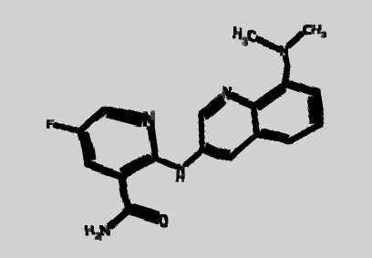 CN(C)c1cccc2cc(Nc3ncc(F)cc3C(N)=O)cnc12